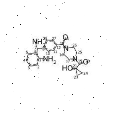 Nc1ccccc1C(N)c1ccc(C(=O)N2CCN(C(=O)C3(O)CC3)CC2)cc1